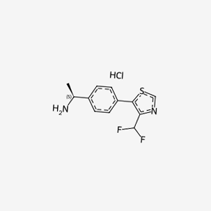 C[C@H](N)c1ccc(-c2scnc2C(F)F)cc1.Cl